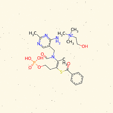 CC(=C(CCOP(=O)(O)O)SC(=O)c1ccccc1)N(C=O)Cc1cnc(C)nc1N.C[N+](C)(C)CCO